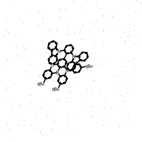 CC(C)(C)c1ccc(N2c3ccc(C(C)(C)C)cc3B3c4cc(C(C)(C)C)ccc4Oc4cc(-c5c(-n6c7ccccc7c7ccccc76)cccc5-n5c6ccccc6c6ccccc65)cc2c43)cc1